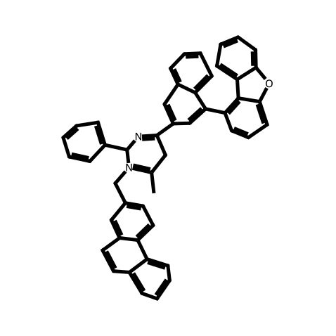 CC1=[N+](Cc2ccc3c(ccc4ccccc43)c2)C(c2ccccc2)N=C(c2cc(-c3cccc4oc5ccccc5c34)c3ccccc3c2)C1